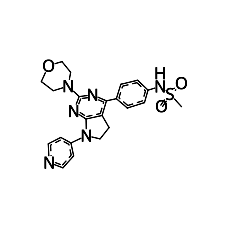 CS(=O)(=O)Nc1ccc(-c2nc(N3CCOCC3)nc3c2CCN3c2ccncc2)cc1